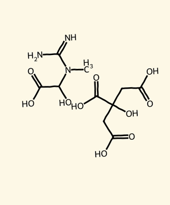 CN(C(=N)N)C(O)C(=O)O.O=C(O)CC(O)(CC(=O)O)C(=O)O